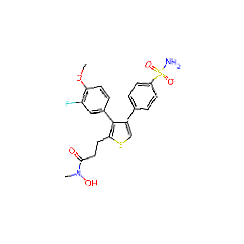 COc1ccc(-c2c(-c3ccc(S(N)(=O)=O)cc3)csc2CCC(=O)N(C)O)cc1F